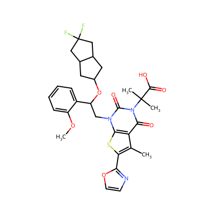 COc1ccccc1C(Cn1c(=O)n(C(C)(C)C(=O)O)c(=O)c2c(C)c(-c3ncco3)sc21)OC1CC2CC(F)(F)CC2C1